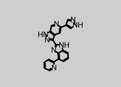 c1ccc(-c2cccc3[nH]c(-c4n[nH]c5cnc(-c6cn[nH]c6)cc45)nc23)nc1